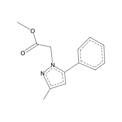 COC(=O)Cn1nc(C)cc1-c1ccccc1